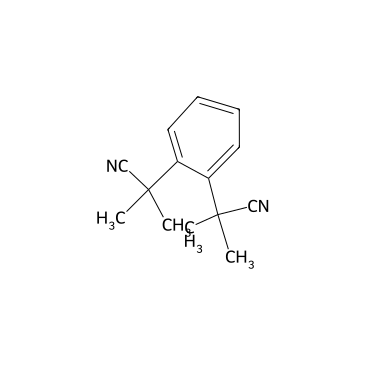 CC(C)(C#N)c1ccccc1C(C)(C)C#N